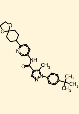 Cc1c(C(=O)Nc2ccc(C3CCC4(CC3)OCCO4)nc2)cnn1-c1ccc(C(C)(C)C)cc1